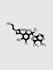 COc1c(C(C)(O)n2nc(C)c3c(N)ncnc32)cc(Cl)c(C#N)c1C1CN(CCO)C1